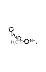 CC1C(Oc2ccc(N)cc2)CCN1CCOc1ccccc1